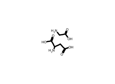 NC(CC(=O)O)C(=O)O.NCC(=O)O